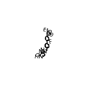 CC[C@H]1CN(c2ccc(-c3ccc(Cn4nnc5c(=O)[nH]ccc54)cc3)c(F)c2)C(=O)O1